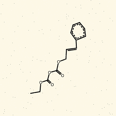 CCOC(=O)OC(=O)OC/C=C/c1ccccc1